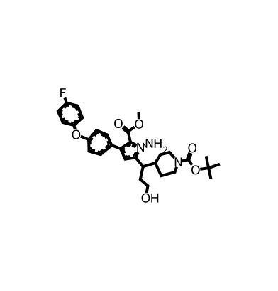 COC(=O)c1c(-c2ccc(Oc3ccc(F)cc3)cc2)cc(C(CCO)C2CCN(C(=O)OC(C)(C)C)CC2)n1N